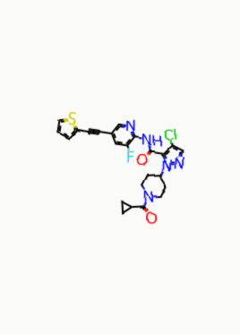 O=C(Nc1ncc(C#Cc2cccs2)cc1F)c1c(Cl)cnn1C1CCN(C(=O)C2CC2)CC1